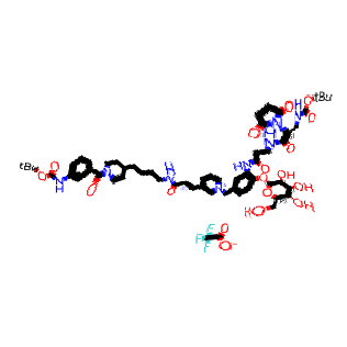 CC(C)(C)OC(=O)NC[C@@H](C(=O)NCCC(=O)Nc1cc(C[n+]2cccc(/C=C/C(=O)NCCCCC3CCN(C(=O)c4cccc(NC(=O)OC(C)(C)C)c4)CC3)c2)ccc1O[C@H]1O[C@H](CO)[C@@H](O)[C@H](O)[C@@H]1O)N1C(=O)C=CC1=O.O=C([O-])C(F)(F)F